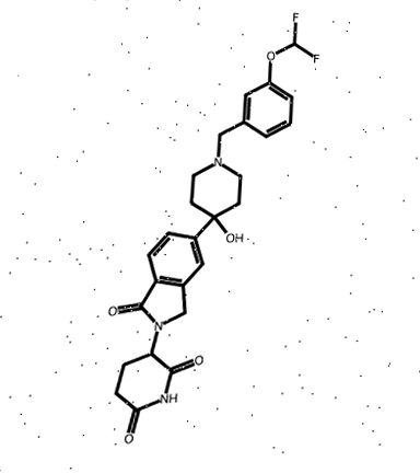 O=C1CCC(N2Cc3cc(C4(O)CCN(Cc5cccc(OC(F)F)c5)CC4)ccc3C2=O)C(=O)N1